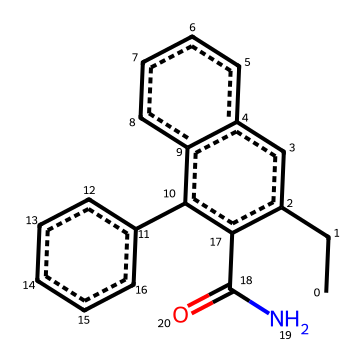 CCc1cc2ccccc2c(-c2ccccc2)c1C(N)=O